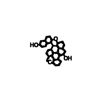 Oc1ccc2c3c(ccc2c1)Oc1ccc2cc(O)ccc2c1C3c1ccc2ccc3cccc4ccc1c2c34